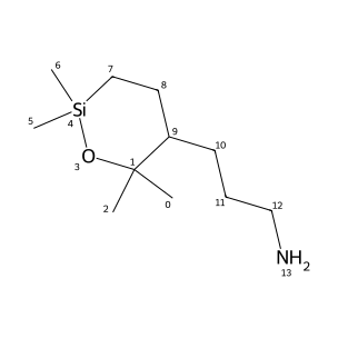 CC1(C)O[Si](C)(C)CCC1CCCN